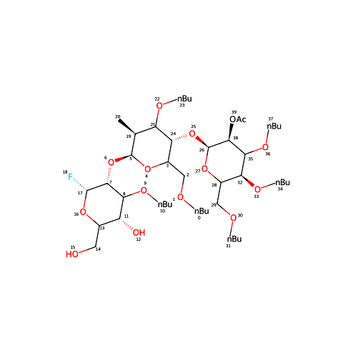 CCCCOCC1O[C@@H](O[C@@H]2C(OCCCC)[C@H](O)C(CO)O[C@@H]2F)[C@@H](C)C(OCCCC)[C@@H]1O[C@@H]1OC(COCCCC)[C@H](OCCCC)C(OCCCC)[C@@H]1OC(C)=O